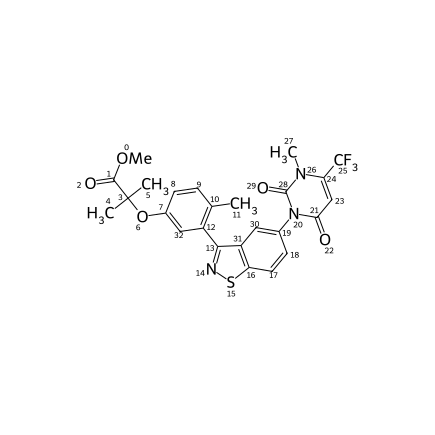 COC(=O)C(C)(C)Oc1ccc(C)c(-c2nsc3ccc(-n4c(=O)cc(C(F)(F)F)n(C)c4=O)cc23)c1